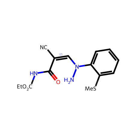 CCOC(=O)NC(=O)/C(C#N)=C\N(N)c1ccccc1SC